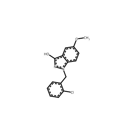 COc1ccc2c(c1)c(O)nn2Cc1ccccc1Cl